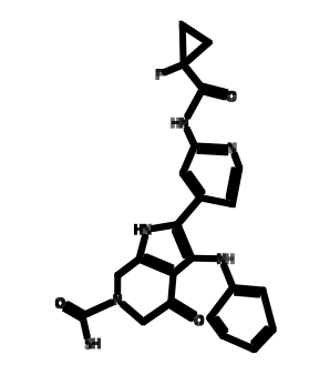 O=C1CN(C(=O)S)Cc2[nH]c(-c3ccnc(NC(=O)C4(F)CC4)c3)c(Nc3ccccc3)c21